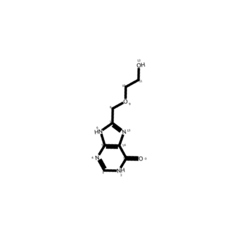 O=c1[nH]cnc2[nH]c(COCCO)nc12